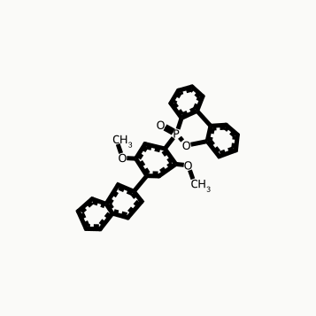 COc1cc(P2(=O)Oc3ccccc3-c3ccccc32)c(OC)cc1-c1ccc2ccccc2c1